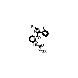 CC(C)(C)OC(=O)NC[C@@H]1CCCCN1C(=O)c1nc(Br)sc1-c1ccccc1F